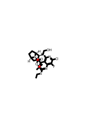 CCSc1nc(N2C[C@H]3CC[C@@H]([C@H]2CCO)N3C(=O)OC(C)(C)C)c2c(Br)nc(Cl)c(F)c2n1